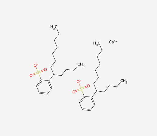 CCCCCCCC(CCCC)c1ccccc1S(=O)(=O)[O-].CCCCCCCC(CCCC)c1ccccc1S(=O)(=O)[O-].[Ca+2]